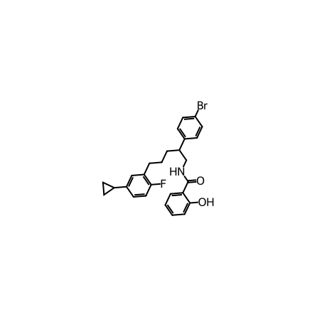 O=C(NCC(CCCc1cc(C2CC2)ccc1F)c1ccc(Br)cc1)c1ccccc1O